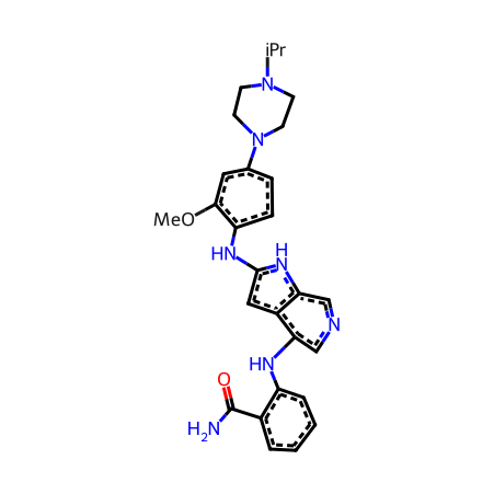 COc1cc(N2CCN(C(C)C)CC2)ccc1Nc1cc2c(Nc3ccccc3C(N)=O)cncc2[nH]1